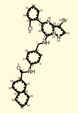 O=C(Nc1ccc(CNc2cc(-c3ccccc3Cl)nc3c(Br)cnn23)cc1)c1ccc2ccccc2c1